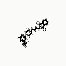 Cc1nc(N2CCN(CCCCN3C(=O)c4ccccc4C3=O)CC2)cc(C(C)(C)C)n1